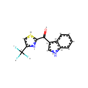 O=C(c1nc(C(F)(F)F)cs1)c1c[nH]c2ccccc12